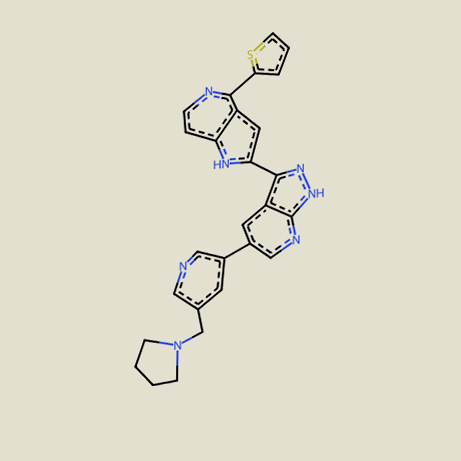 c1csc(-c2nccc3[nH]c(-c4n[nH]c5ncc(-c6cncc(CN7CCCC7)c6)cc45)cc23)c1